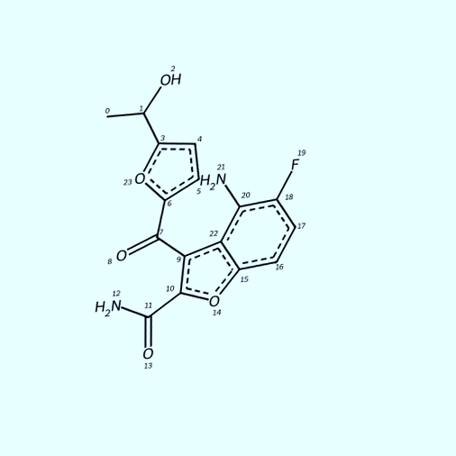 CC(O)c1ccc(C(=O)c2c(C(N)=O)oc3ccc(F)c(N)c23)o1